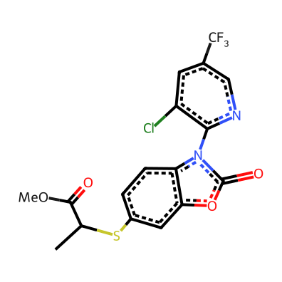 COC(=O)C(C)Sc1ccc2c(c1)oc(=O)n2-c1ncc(C(F)(F)F)cc1Cl